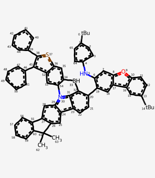 CC(C)(C)c1ccc(Nc2cc3oc4ccc(C(C)(C)C)cc4c3cc2-c2ccc3c4cc5c(cc4n4c3c2Bc2cc3sc(-c6ccccc6)c(-c6ccccc6)c3cc2-4)-c2ccccc2C5(C)C)cc1